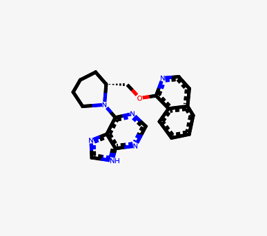 c1ccc2c(OC[C@H]3CCCCN3c3ncnc4[nH]cnc34)nccc2c1